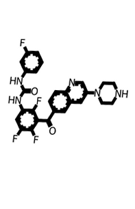 O=C(Nc1cccc(F)c1)Nc1cc(F)c(F)c(C(=O)c2ccc3ncc(N4CCNCC4)cc3c2)c1F